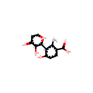 Cc1c(C(=O)O)ccc(O)c1-c1occc(=O)c1O